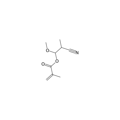 C=C(C)C(=O)OC(OC)C(C)C#N